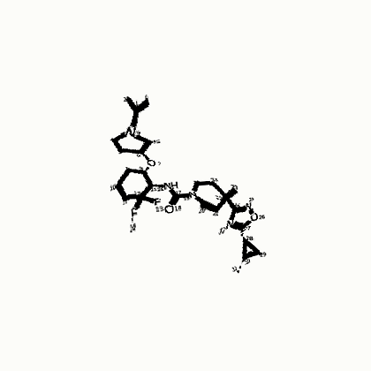 CC(C)N1CC[C@H](O[C@H]2CCCC(F)(F)[C@@H]2NC(=O)N2CCC(C)(c3noc([C@@H]4C[C@@H]4C)n3)CC2)C1